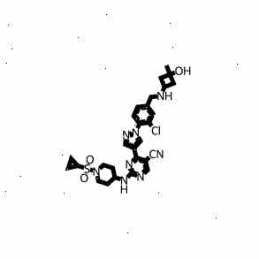 CC1(O)CC(NCc2ccc(-n3cc(-c4nc(NC5CCN(S(=O)(=O)C6CC6)CC5)ncc4C#N)cn3)c(Cl)c2)C1